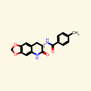 Cc1ccc(C(=O)N[C@H]2Cc3cc4c(cc3NC2=O)OCO4)cc1